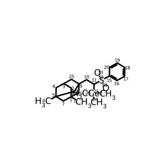 CC12CC3CC(C)(C1)CC(C[CH](S(=O)(=O)c1ccccc1)[Ge]([CH3])([CH3])[CH3])(C3)C2